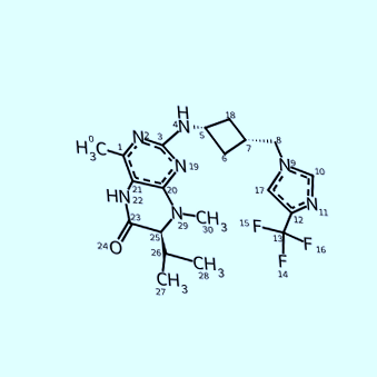 Cc1nc(N[C@H]2C[C@@H](Cn3cnc(C(F)(F)F)c3)C2)nc2c1NC(=O)[C@H](C(C)C)N2C